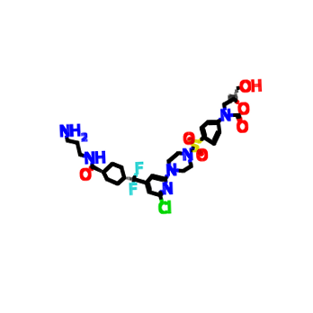 NCCCNC(=O)[C@H]1CC[C@H](C(F)(F)c2cc(Cl)nc(N3CCN(S(=O)(=O)c4ccc(N5C[C@H](CO)OC5=O)cc4)CC3)c2)CC1